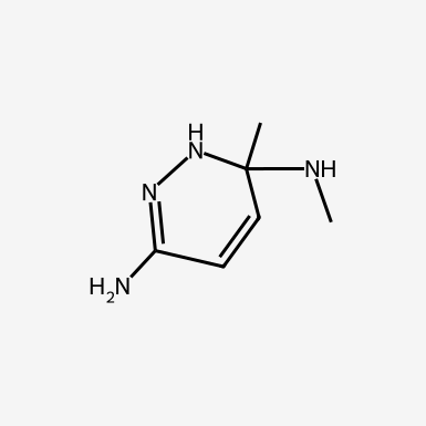 CNC1(C)C=CC(N)=NN1